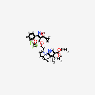 CCC1CC[C@@H](CCOCc2c(-c3ccccc3OC(F)(F)F)noc2C2CC2)N1c1cc(C)c(C(=O)OC)cn1